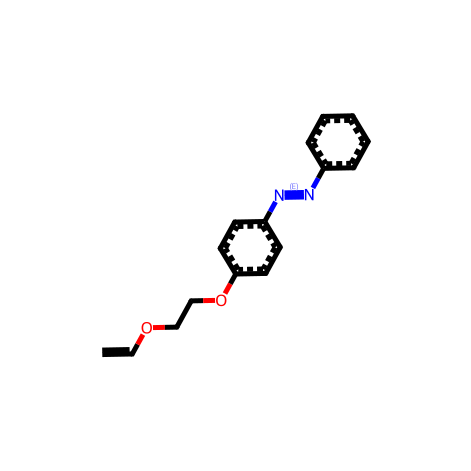 C=COCCOc1ccc(/N=N/c2ccccc2)cc1